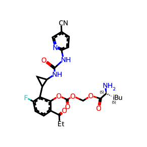 CCC(=O)c1ccc(F)c(C2CC2NC(=O)Nc2ccc(C#N)cn2)c1OC(=O)OCOC(=O)[C@@H](N)[C@@H](C)CC